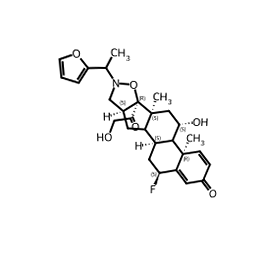 CC(c1ccco1)N1C[C@@H]2CC3[C@@H]4C[C@H](F)C5=CC(=O)C=C[C@]5(C)C4[C@@H](O)C[C@]3(C)[C@]2(C(=O)CO)O1